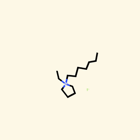 CCCCCCC[N+]1(CC)CCCC1.[F-]